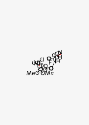 COc1ccc(C(Cc2c(Cl)c[n+]([O-])cc2Cl)OC(=O)c2cccc(CCNC(C(=O)O[C@H]3CN4CCC3CC4)c3ccccc3F)c2)cc1OC